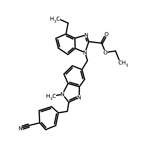 CCOC(=O)c1nc2c(CC)cccc2n1Cc1ccc2c(c1)nc(Cc1ccc(C#N)cc1)n2C